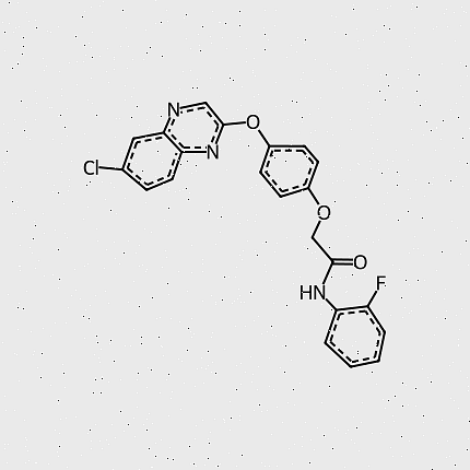 O=C(COc1ccc(Oc2cnc3cc(Cl)ccc3n2)cc1)Nc1ccccc1F